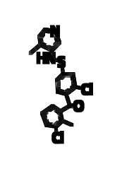 Cc1ccncc1NSc1ccc(C(=O)c2cccc(Cl)c2C)c(Cl)c1